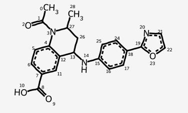 CC(=O)N1c2ccc(C(=O)O)cc2C(Nc2ccc(-c3ncco3)cc2)CC1C